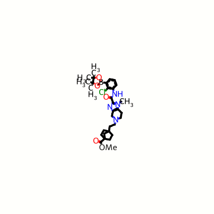 COC(=O)C12CCC(CCN3CCc4c(nc(C(=O)Nc5cccc(B6OC(C)(C)C(C)(C)O6)c5Cl)n4C)C3)(CC1)C2